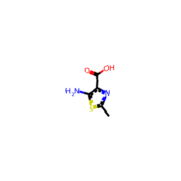 Cc1nc(C(=O)O)c(N)s1